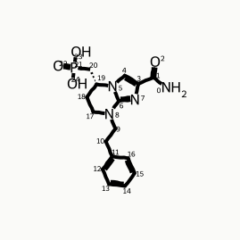 NC(=O)c1cn2c(n1)N(CCc1ccccc1)CC[C@@H]2CP(=O)(O)O